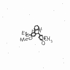 CCOc1cc2c(cc1OC)C(c1ccc(=O)n(C)c1)=N[C@@H]1CCCC[C@H]21